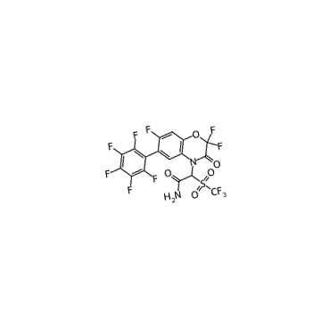 NC(=O)C(N1C(=O)C(F)(F)Oc2cc(F)c(-c3c(F)c(F)c(F)c(F)c3F)cc21)S(=O)(=O)C(F)(F)F